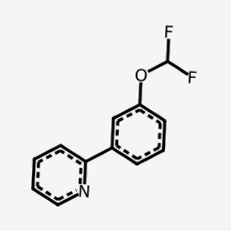 FC(F)Oc1cccc(-c2ccccn2)c1